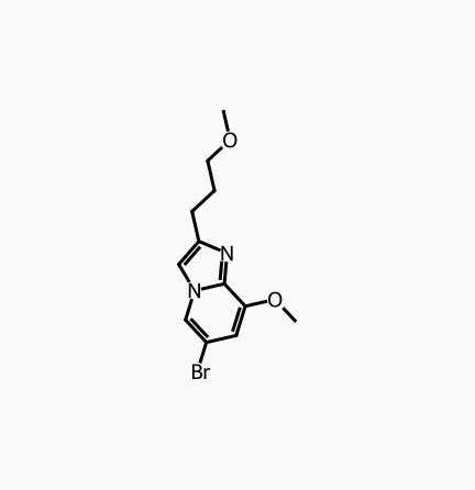 COCCCc1cn2cc(Br)cc(OC)c2n1